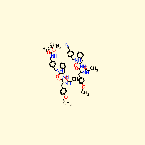 CCOc1ccc(CC(NC(=O)CC)C(=O)NC(Cc2ccccc2)C(=O)NCc2ccc(C#N)cc2)cc1.CCOc1ccc(CC(NC(=O)CC)C(=O)NC(Cc2ccccc2)C(=O)NCc2ccc(CNC(=O)OC(C)(C)C)cc2)cc1